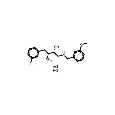 COc1cccc(CNC[C@@H](O)[C@@H](N)Cc2cccc(Cl)c2)c1.Cl.Cl